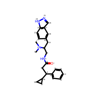 CN(C)C(CNC(=O)CC(c1ccccc1)C1CC1)Cc1ccc2[nH]ncc2c1